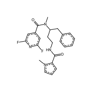 CN(C(=O)c1cc(F)nc(F)c1)C(CCNC(=O)c1cccn1C)Cc1ccccc1